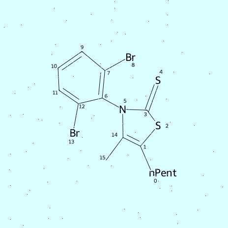 CCCCCc1sc(=S)n(-c2c(Br)cccc2Br)c1C